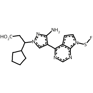 Nc1nn(C(CC(=O)O)C2CCCC2)cc1-c1ncnc2c1ccn2SF